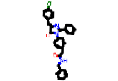 O=C(Cc1ccc(N2C(=O)/C(=C/c3ccc(Cl)cc3)N=C2c2ccccc2)cc1)NCc1ccccc1